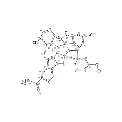 CCOc1cccc(CN2[C@H]3Cn4c(nc5cc(C(=O)NO)ccc54)[C@H]3[C@H](c3cccc(Cl)c3F)[C@]23C(=O)Nc2cc(Cl)ccc23)c1